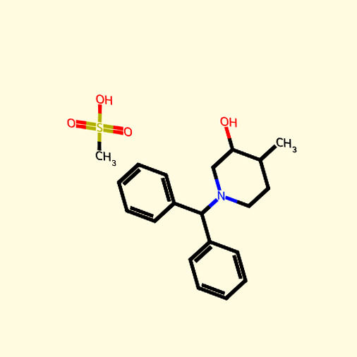 CC1CCN(C(c2ccccc2)c2ccccc2)CC1O.CS(=O)(=O)O